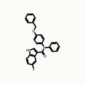 O=C(c1c[nH]c2ccc(F)cc12)N(c1ccccc1)c1ccc(OCc2ccccc2)cc1